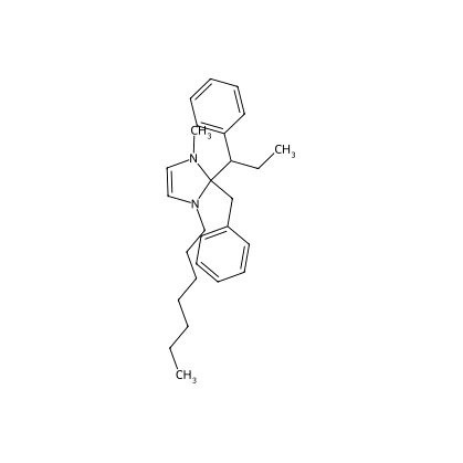 CCCCCCCN1C=CN(C)C1(Cc1ccccc1)C(CC)c1ccccc1